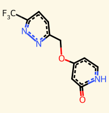 O=c1cc(OCc2ccc(C(F)(F)F)nn2)cc[nH]1